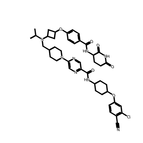 CC(C)N(CC1CCN(c2cnc(C(=O)NC3CCC(Oc4ccc(C#N)c(Cl)c4)CC3)cn2)CC1)C1CC(Oc2ccc(C(=O)NC3CCC(=O)NC3=O)cc2)C1